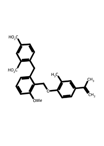 C=C(C)c1ccc(OCc2c(Cc3ccc(C(=O)O)cc3C(=O)O)cccc2OC)c(C)c1